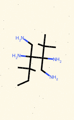 CCC(C)(C)C(N)(CN)C(N)(CN)C(C)(C)C